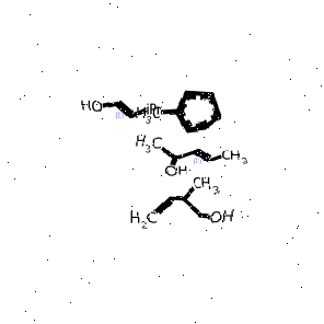 C/C=C/C(C)O.C=CC(C)CO.CC(C)/C=C/O.Cc1ccccc1